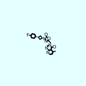 Cc1ccnc2ncn(Cc3nn([C@H]4C[C@H](c5ccc(F)cc5)C4)c(=O)o3)c(=O)c12